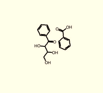 O=C(O)c1ccccc1.O=C(c1ccccc1)C(O)C(O)CO